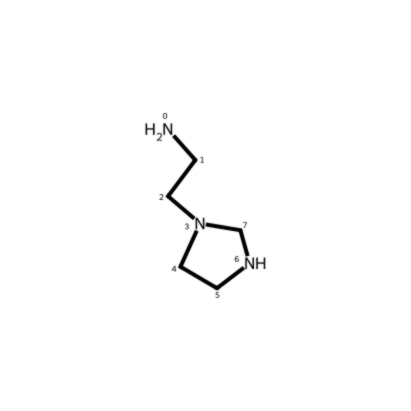 NCCN1CCNC1